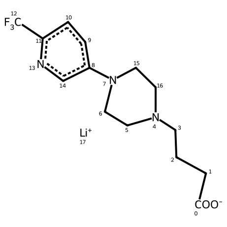 O=C([O-])CCCN1CCN(c2ccc(C(F)(F)F)nc2)CC1.[Li+]